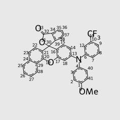 COc1ccc(N(c2cccc(C(F)(F)F)c2)c2ccc3c(c2)Oc2c(ccc4ccccc24)C32OC(=O)c3ccccc32)cc1